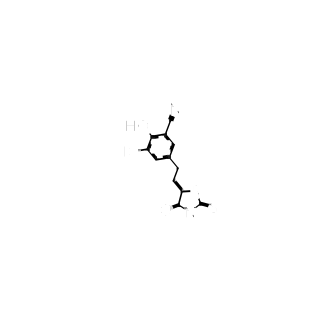 N#Cc1cc(CC=C2SC(=S)NC2=O)cc(O)c1O